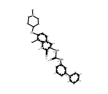 Cc1c(OC2CCN(C)CC2)ccc2cc(NC(=O)Nc3cccc(-c4ccccc4)c3)c(=O)oc12